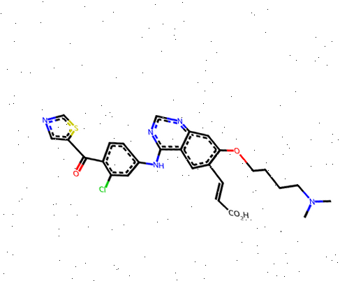 CN(C)CCCCOc1cc2ncnc(Nc3ccc(C(=O)c4cncs4)c(Cl)c3)c2cc1C=CC(=O)O